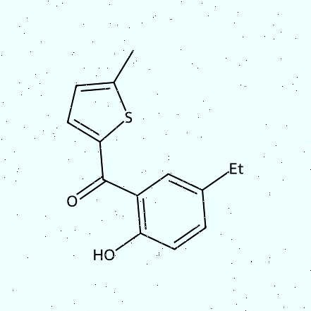 CCc1ccc(O)c(C(=O)c2ccc(C)s2)c1